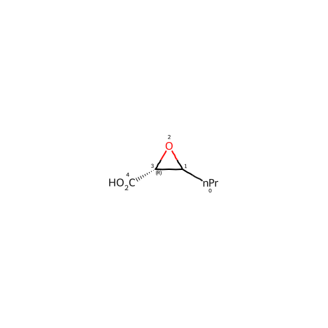 CCCC1O[C@H]1C(=O)O